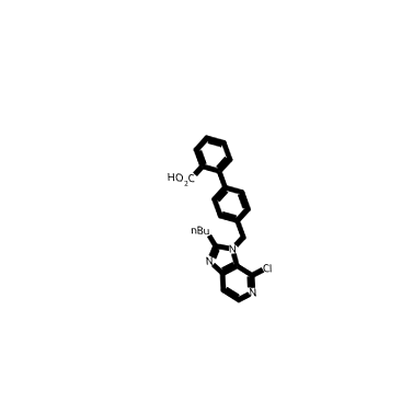 CCCCc1nc2ccnc(Cl)c2n1Cc1ccc(-c2ccccc2C(=O)O)cc1